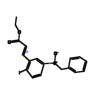 CCOC(=O)/C=C/c1cc([S+]([O-])Cc2ccccc2)ccc1I